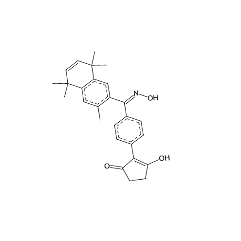 Cc1cc2c(cc1/C(=N/O)c1ccc(C3=C(O)CCC3=O)cc1)C(C)(C)C=CC2(C)C